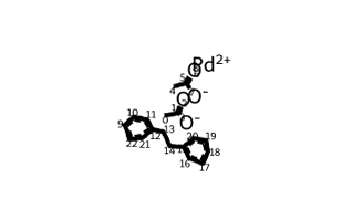 CC(=O)[O-].CC(=O)[O-].[Pd+2].c1ccc(CCc2ccccc2)cc1